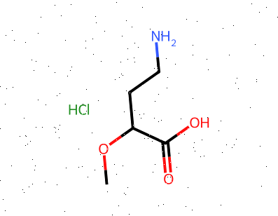 COC(CCN)C(=O)O.Cl